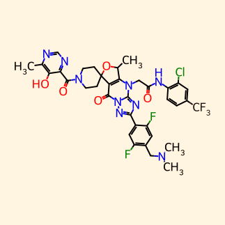 Cc1ncnc(C(=O)N2CCC3(CC2)OC(C)c2c3c(=O)n3nc(-c4cc(F)c(CN(C)C)cc4F)nc3n2CC(=O)Nc2ccc(C(F)(F)F)cc2Cl)c1O